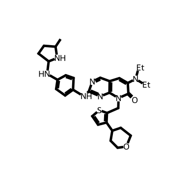 CCN(CC)c1cc2cnc(Nc3ccc(NC4CCC(C)N4)cc3)nc2n(Cc2sccc2C2CCOCC2)c1=O